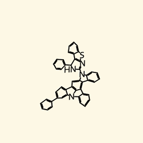 c1ccc(-c2ccc3c4cc5c(c6ccccc6n5C5=Nc6sc7ccccc7c6C(c6ccccc6)N5)c5c6ccccc6n(c3c2)c45)cc1